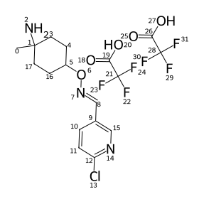 CC1(N)CCC(ON=Cc2ccc(Cl)nc2)CC1.O=C(O)C(F)(F)F.O=C(O)C(F)(F)F